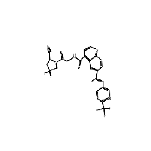 CC(=Cc1ccc(C(F)(F)F)nc1)c1ccc2nccc(C(=O)NCC(=O)N3CC(F)(F)CC3C#N)c2c1